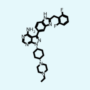 CCN1CCN([C@H]2CC[C@@H](n3nc(-c4ccc5[nH]c(Cc6c(F)cccc6F)nc5c4)c4c(N)ncnc43)CC2)CC1